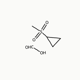 CS(=O)(=O)C1CC1.O=CO